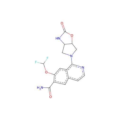 NC(=O)c1cc2ccnc(N3CC4NC(=O)OC4C3)c2cc1OC(F)F